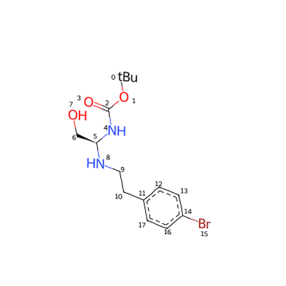 CC(C)(C)OC(=O)N[C@H](CO)NCCc1ccc(Br)cc1